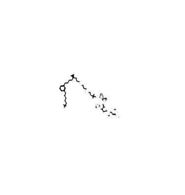 CC(C)(CCCCCc1cccc(CCCCC2(C(=O)CCNC(=O)CCNC(=O)C(O)C(C)(C)COP(=O)(O)OP(=O)(O)OCC3OC(n4cnc5c(N)ncnc54)C(O)C3OP(=O)(O)O)CC2)c1)C(=O)O